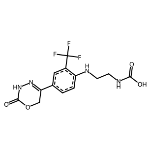 O=C(O)NCCNc1ccc(C2=NNC(=O)OC2)cc1C(F)(F)F